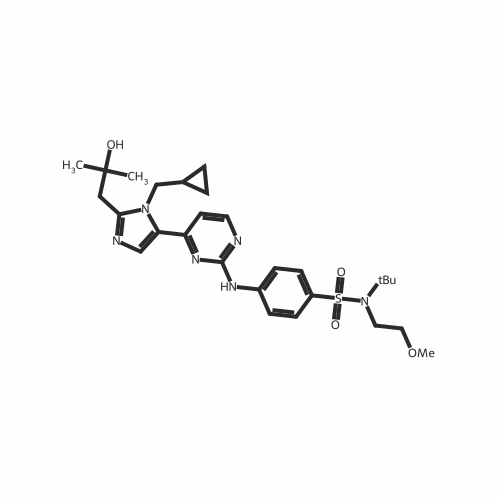 COCCN(C(C)(C)C)S(=O)(=O)c1ccc(Nc2nccc(-c3cnc(CC(C)(C)O)n3CC3CC3)n2)cc1